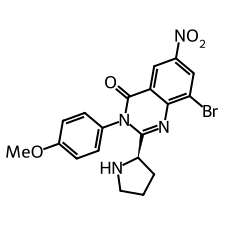 COc1ccc(-n2c([C@H]3CCCN3)nc3c(Br)cc([N+](=O)[O-])cc3c2=O)cc1